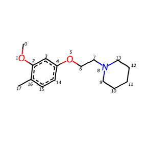 COc1cc(OCCN2CCCCC2)ccc1C